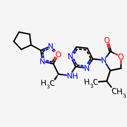 CC(C)C1COC(=O)N1c1ccnc(N[C@@H](C)c2nc(C3CCCC3)no2)n1